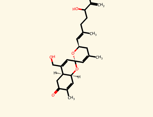 C=C(C)C(O)CC/C(C)=C/[C@H]1CC(C)=C[C@@]2(C=C(CO)[C@@H]3CC(=O)C(C)=C[C@@H]3O2)O1